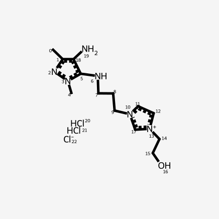 Cc1nn(C)c(NCCCn2cc[n+](CCO)c2)c1N.Cl.Cl.[Cl-]